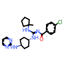 CC1(N/C(=N/C(=O)c2ccc(Cl)cc2)N[C@H]2CC[C@H](Nc3ncccn3)CC2)CCCC1